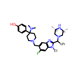 CCCC(c1nc2cc(CN3CCC(c4ccc(O)cc4)(N(C)C)CC3)c(F)cc2n1CC)N1C[C@@H](C)N[C@@H](C)C1